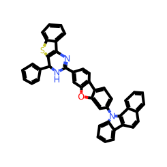 c1ccc(C2NC(c3ccc4c(c3)oc3cc(-n5c6ccccc6c6ccc7ccccc7c65)ccc34)=Nc3c2sc2ccccc32)cc1